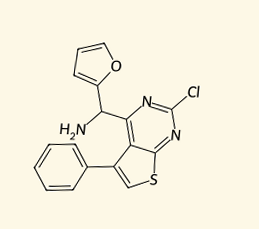 NC(c1ccco1)c1nc(Cl)nc2scc(-c3ccccc3)c12